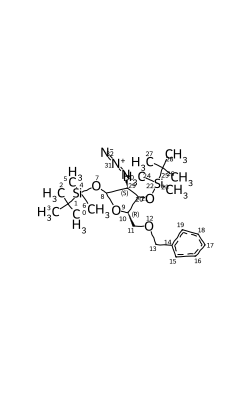 CC(C)(C)[Si](C)(C)OC1O[C@H](COCc2ccccc2)C(O[Si](C)(C)C(C)(C)C)[C@@H]1N=[N+]=[N-]